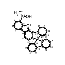 CB(O)c1cccc2c1oc1c3c(ccc12)C1(c2ccccc2-c2ccccc21)c1ccccc1-3